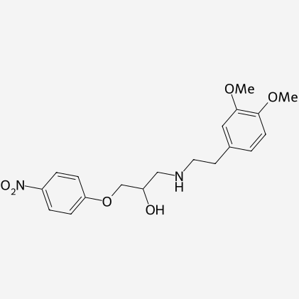 COc1ccc(CCNCC(O)COc2ccc([N+](=O)[O-])cc2)cc1OC